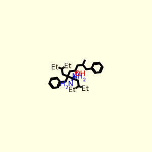 CCC(CC)CC(N)(N)C(Cc1ccccc1)(CC(O)CC(C)Cc1ccccc1)CC(CC)CC